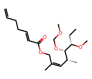 C=CCC/C=C/C(=O)OC/C(C)=C\[C@@H](C)[C@H](OCOC)[C@H](CC)OC